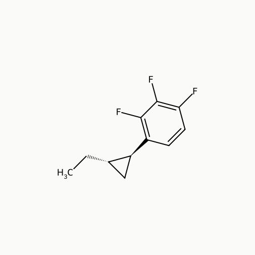 CC[C@H]1C[C@@H]1c1ccc(F)c(F)c1F